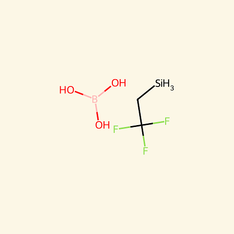 FC(F)(F)C[SiH3].OB(O)O